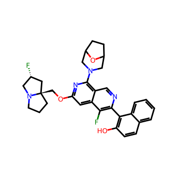 Oc1ccc2ccccc2c1-c1ncc2c(N3CC4CCC(C3)O4)nc(OC[C@@]34CCCN3C[C@H](F)C4)cc2c1F